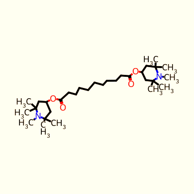 CN1C(C)(C)CC(OC(=O)CCCCCCCCCC(=O)OC2CC(C)(C)N(C)C(C)(C)C2)CC1(C)C